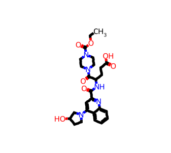 CCOC(=O)N1CCN(C(=O)C(CCC(=O)O)NC(=O)c2cc(N3CCC(O)C3)c3ccccc3n2)CC1